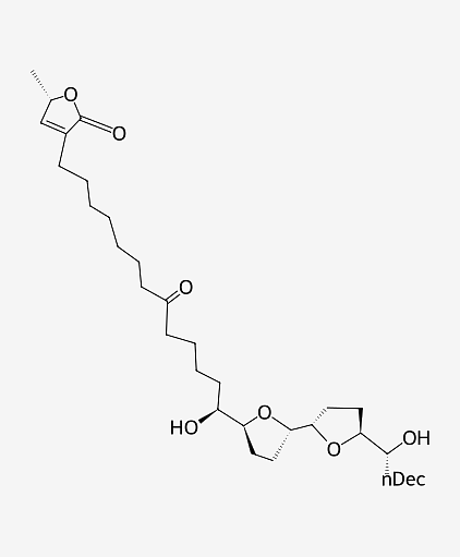 CCCCCCCCCC[C@@H](O)[C@@H]1CC[C@@H]([C@@H]2CC[C@@H]([C@@H](O)CCCCC(=O)CCCCCCCC3=C[C@H](C)OC3=O)O2)O1